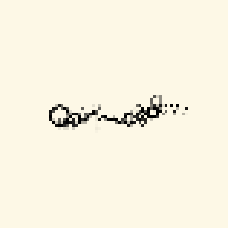 COc1ccc(S(=O)(=O)N2CCC(CCCCNC(=O)c3cc4c([nH]3)CC3(CCCCCCCCC3)NC4)CC2)cc1Cl